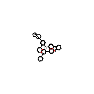 c1c(N(c2ccc(C34CCC5CC(CC5C3)C4)cc2C2=CC=CCC2)c2ccc(-c3ccccc3)cc2-c2ccccc2)cc2oc3ccccc3c2c#1